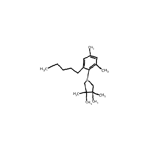 CCCCCc1cc(C)cc(C)c1B1CC(C)(C)C(C)(C)C1